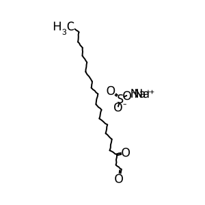 CCCCCCCCCCCCCCCCCC(=O)CC=O.O=S([O-])[O-].[Na+].[Na+]